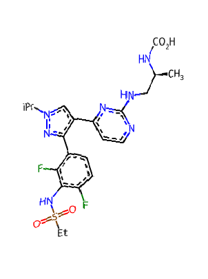 CCS(=O)(=O)Nc1c(F)ccc(-c2nn(C(C)C)cc2-c2ccnc(NC[C@H](C)NC(=O)O)n2)c1F